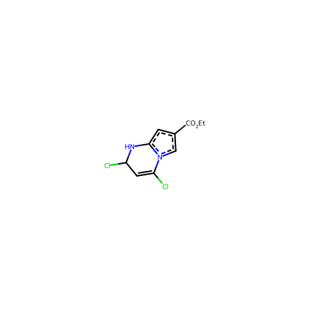 CCOC(=O)c1cc2n(c1)C(Cl)=CC(Cl)N2